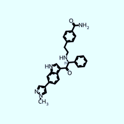 Cn1cc(-c2ccc3c(C(=O)[C@@H](NCCc4ccc(C(N)=O)cc4)c4ccccc4)c[nH]c3c2)cn1